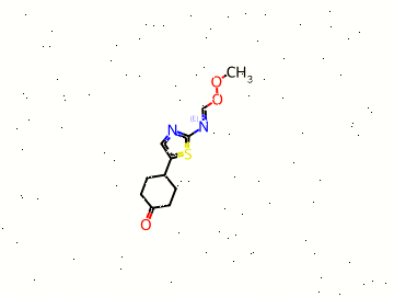 COO/C=N/c1ncc(C2CCC(=O)CC2)s1